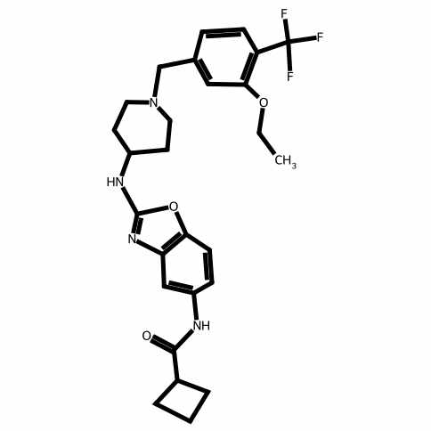 CCOc1cc(CN2CCC(Nc3nc4cc(NC(=O)C5CCC5)ccc4o3)CC2)ccc1C(F)(F)F